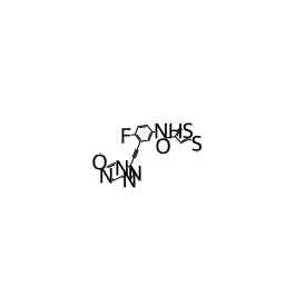 COc1cn2c(C#Cc3cc(NC(=O)c4csc(SC)c4)ccc3F)nnc2cn1